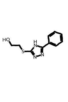 OCCSc1nnc(-c2ccccc2)[nH]1